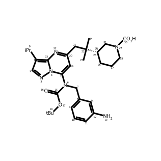 CC(C)c1cnn2c(N(Cc3cccc(N)c3)C(=O)OC(C)(C)C)cc(CC(C)(C)[C@H]3CCCN(C(=O)O)C3)nc12